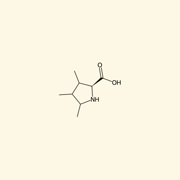 CC1N[C@H](C(=O)O)C(C)C1C